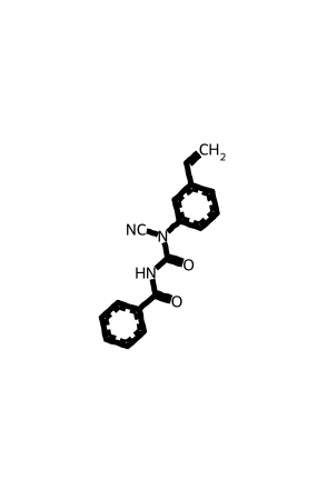 C=Cc1cccc(N(C#N)C(=O)NC(=O)c2ccccc2)c1